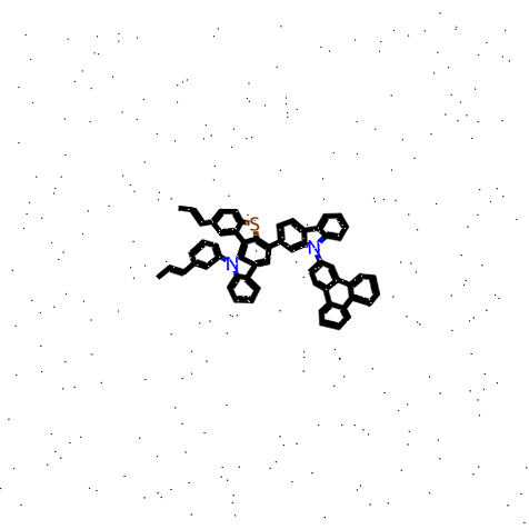 C/C=C/c1cccc(-n2c3ccccc3c3cc(-c4ccc5c6ccccc6n(-c6ccc7c8ccccc8c8ccccc8c7c6)c5c4)c4sc5ccc(/C=C/C)cc5c4c32)c1